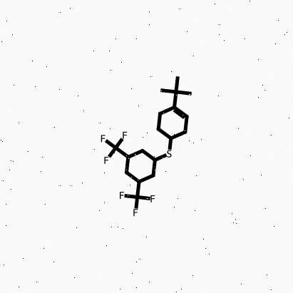 CC(C)(C)C1=CCC(SC2CC(C(F)(F)F)CC(C(F)(F)F)C2)CC1